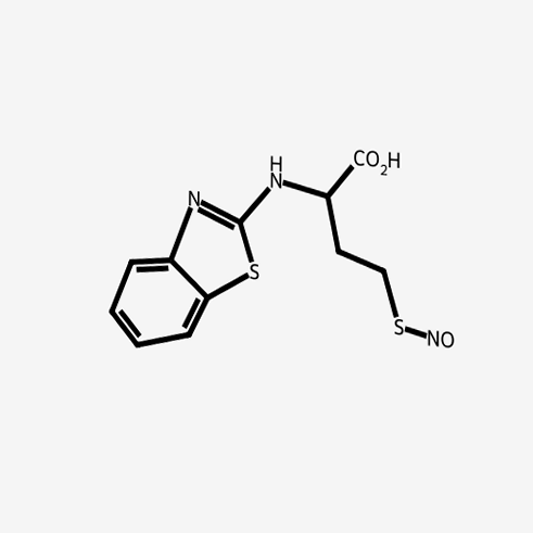 O=NSCCC(Nc1nc2ccccc2s1)C(=O)O